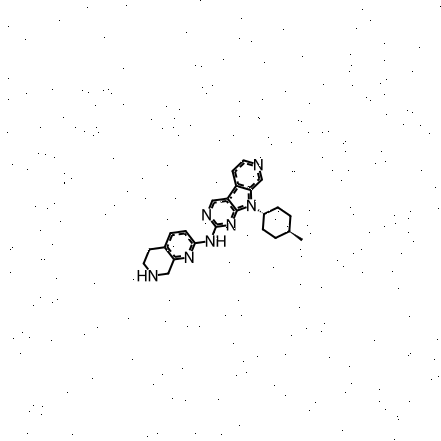 C[C@H]1CC[C@H](n2c3cnccc3c3cnc(Nc4ccc5c(n4)CNCC5)nc32)CC1